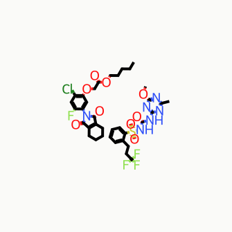 CCCCCOC(=O)COc1cc(N2C(=O)C3=C(CCCC3)C2=O)c(F)cc1Cl.COc1nc(C)nc(NC(=O)NS(=O)(=O)c2ccccc2CCC(F)(F)F)n1